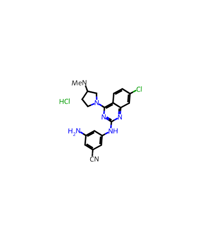 CNC1CCN(c2nc(Nc3cc(N)cc(C#N)c3)nc3cc(Cl)ccc23)C1.Cl